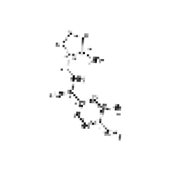 Cc1ncc(C(=O)NC[C@@H]2CCCN2C(C)C)cc1Br